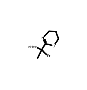 CCCCCCC(C)(CC)C1=NCCCO1